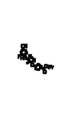 Cc1c(Nc2ccc(C#N)cc2F)ncnc1OC1CCN(C(=O)OC(C)C)CC1